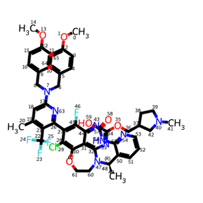 COc1ccc(CN(Cc2ccc(OC)cc2)c2cc(C)c(C(F)(F)F)c(-c3c(Cl)c4c5c(nc(OCC6CCN(C)C6)nc5c3F)N([C@H](C)c3cccnc3NC(=O)O)CCO4)n2)cc1